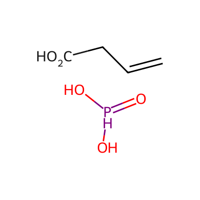 C=CCC(=O)O.O=[PH](O)O